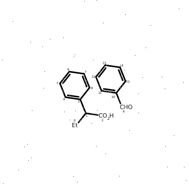 CCC(C(=O)O)c1ccccc1.O=Cc1ccccc1